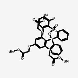 CC(C)(C)OC(=O)COc1cc(OCC(=O)OC(C)(C)C)c(S(OS(=O)(=O)c2c(F)cccc2F)(c2ccccc2)c2ccccc2)c(OCC(=O)OC(C)(C)C)c1